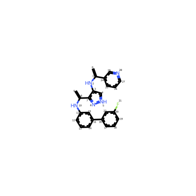 C=C(Nc1c[nH]nc1C(=C)Nc1cccc(-c2cccc(F)c2)c1)c1cccnc1